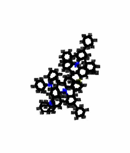 CC(C)(C)c1cc2c3c(c1)N(c1c(-c4ccccc4)cc(-c4ccccc4)cc1-c1ccccc1)c1ccccc1B3c1cc3c(cc1S2)N(c1c(-c2ccccc2)cc(-c2ccccc2)cc1-c1ccccc1)c1cc(N2C4CC5CC(C4)CC2C5)cc2c1B3c1ccccc1N2c1ccccc1